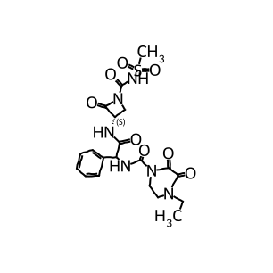 CCN1CCN(C(=O)NC(C(=O)N[C@H]2CN(C(=O)NS(C)(=O)=O)C2=O)c2ccccc2)C(=O)C1=O